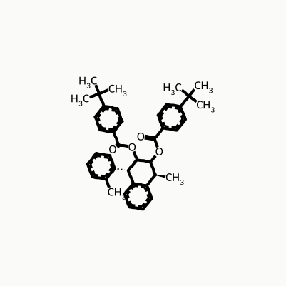 Cc1ccccc1[C@H]1c2ccccc2[C@H](C)C(OC(=O)c2ccc(C(C)(C)C)cc2)C1OC(=O)c1ccc(C(C)(C)C)cc1